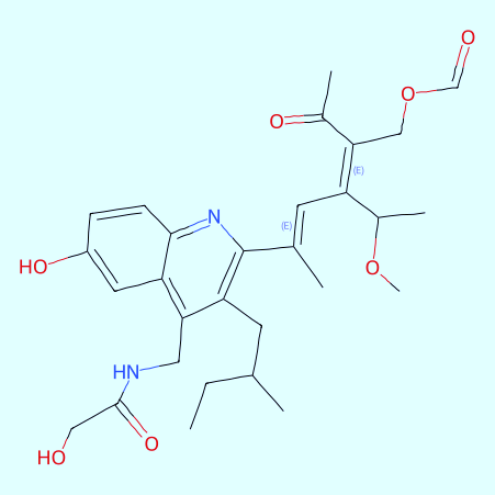 CCC(C)Cc1c(/C(C)=C/C(=C(/COC=O)C(C)=O)C(C)OC)nc2ccc(O)cc2c1CNC(=O)CO